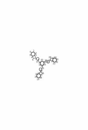 c1ccc2c(c1)CC2OCc1cc(COC2Cc3ccccc32)cc(COC2Cc3ccccc32)c1